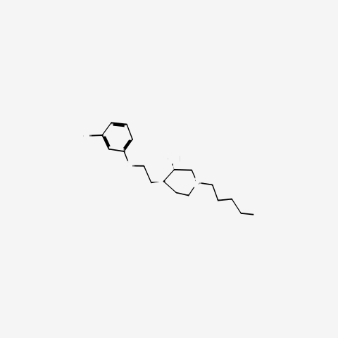 CCCCCN1CC[C@@H](CCOc2cccc(Cl)c2)[C@@H](O)C1